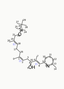 C/C(=C/C[C@H](O)/C(C)=C/c1cccc(C)n1)CC/C=C(\C)CO[Si](C)(C)C(C)(C)C